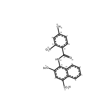 CC(=O)Oc1cc(S(=O)(=O)O)c2ccccc2c1NC(=O)c1ccc(C)cc1[N+](=O)[O-]